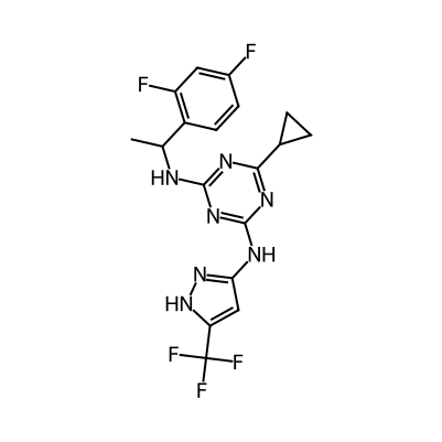 CC(Nc1nc(Nc2cc(C(F)(F)F)[nH]n2)nc(C2CC2)n1)c1ccc(F)cc1F